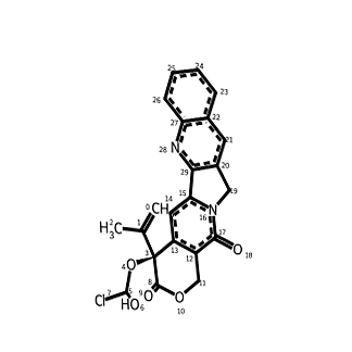 C=C(C)[C@@]1(OC(O)Cl)C(=O)OCc2c1cc1n(c2=O)Cc2cc3ccccc3nc2-1